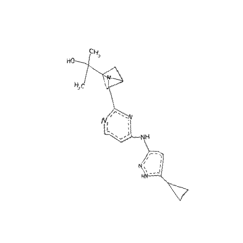 CC(C)(O)C12CC(C1)N(c1nccc(Nc3cc(C4CC4)[nH]n3)n1)C2